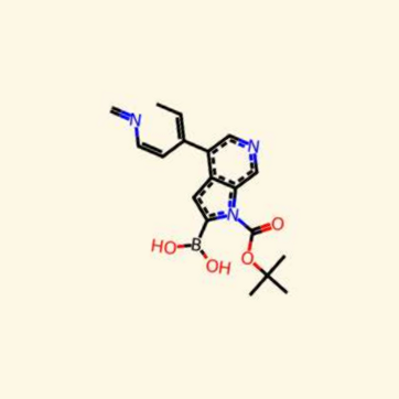 C=N/C=C\C(=C/C)c1cncc2c1cc(B(O)O)n2C(=O)OC(C)(C)C